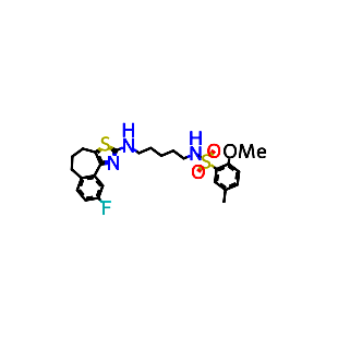 COc1ccc(C)cc1S(=O)(=O)NCCCCCNc1nc2c(s1)CCCc1ccc(F)cc1-2